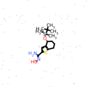 CC(C)(C)[Si](C)(C)OC1CCCc2sc(/C(N)=N/O)cc21